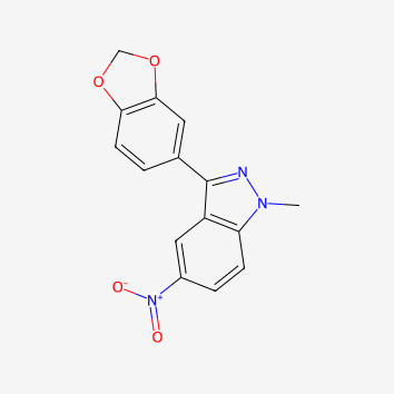 Cn1nc(-c2ccc3c(c2)OCO3)c2cc([N+](=O)[O-])ccc21